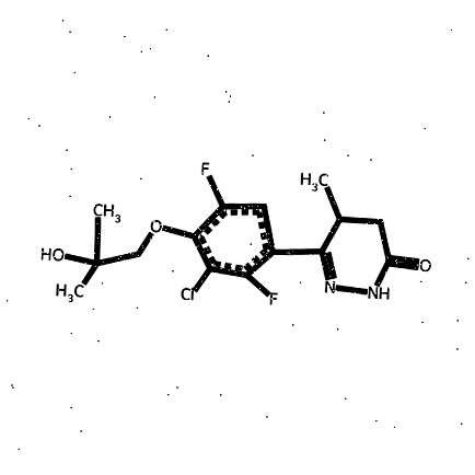 CC1CC(=O)NN=C1c1cc(F)c(OCC(C)(C)O)c(Cl)c1F